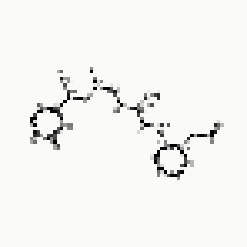 C=CCc1ccccc1OCC(O)CNC(C)CC(O)c1cccnc1